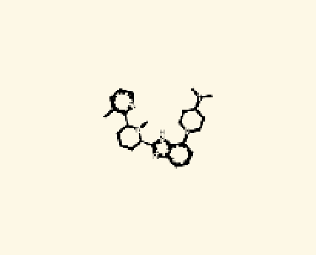 Cc1cccnc1[C@@H]1CCC[C@H](c2nc3cccc(N4CCC(N(C)C)CC4)c3[nH]2)N1C